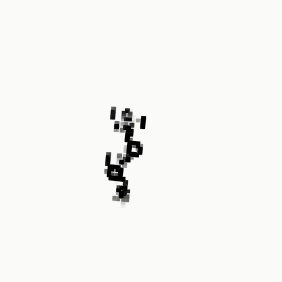 O=C(/C=C/c1cccc(CNc2cccc(OCC(F)(F)F)c2)c1)NO